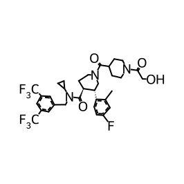 Cc1cc(F)ccc1[C@H]1CN(C(=O)C2CCN(C(=O)CO)CC2)CC[C@@H]1C(=O)N(Cc1cc(C(F)(F)F)cc(C(F)(F)F)c1)C1CC1